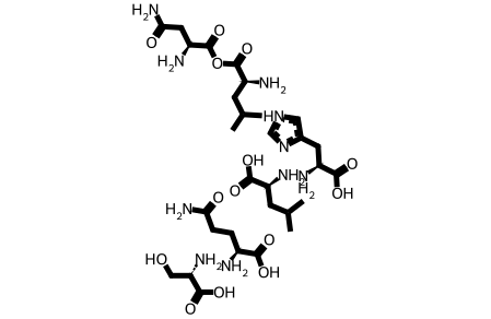 CC(C)C[C@H](N)C(=O)O.CC(C)C[C@H](N)C(=O)OC(=O)[C@@H](N)CC(N)=O.NC(=O)CC[C@H](N)C(=O)O.N[C@@H](CO)C(=O)O.N[C@@H](Cc1c[nH]cn1)C(=O)O